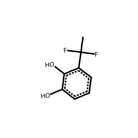 CC(F)(F)c1cccc(O)c1O